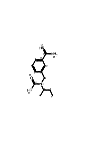 CCC(C)N(Cc1cccc(C(=N)N)c1)C(=O)O